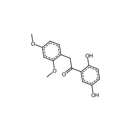 COc1ccc(CC(=O)c2cc(O)ccc2O)c(OC)c1